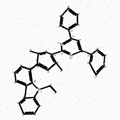 CCn1c2ccccc2c2cccc(-c3cc(C)c(-c4nc(-c5ccccc5)cc(-c5ccccc5)n4)cc3C)c21